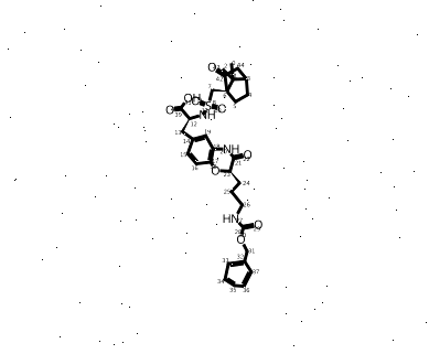 CC1(C)C2CC[C@]1(CS(=O)(=O)N[C@@H](Cc1ccc3c(c1)NC(=O)[C@@H](CCCNC(=O)OCc1ccccc1)O3)C(=O)O)C(=O)C2